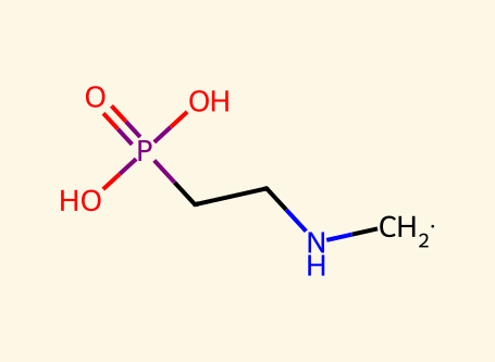 [CH2]NCCP(=O)(O)O